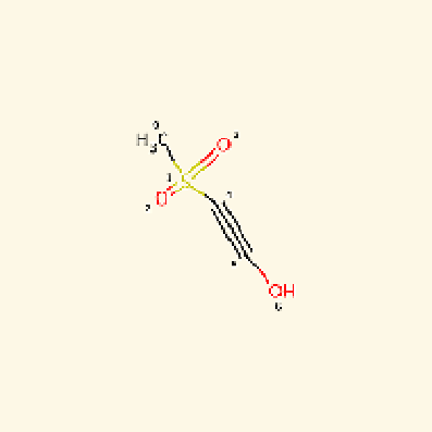 CS(=O)(=O)C#CO